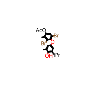 CC(=O)Oc1cc(Br)c(Oc2cc(C)c(O)c(C(C)C)c2)c(Br)c1C